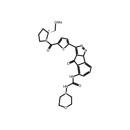 COC[C@H]1CCCN1C(=O)c1ccc(C2=C3C(=O)c4c(NC(=O)NN5CCOCC5)cccc4C3N=N2)s1